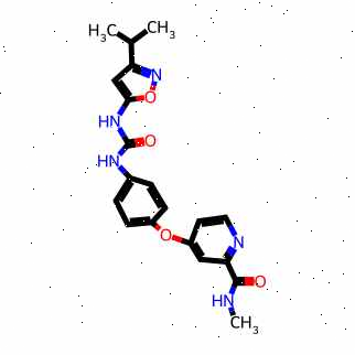 CNC(=O)c1cc(Oc2ccc(NC(=O)Nc3cc(C(C)C)no3)cc2)ccn1